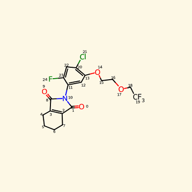 O=C1C2=C(CCCC2)C(=O)N1c1cc(OCCOCC(F)(F)F)c(Cl)cc1F